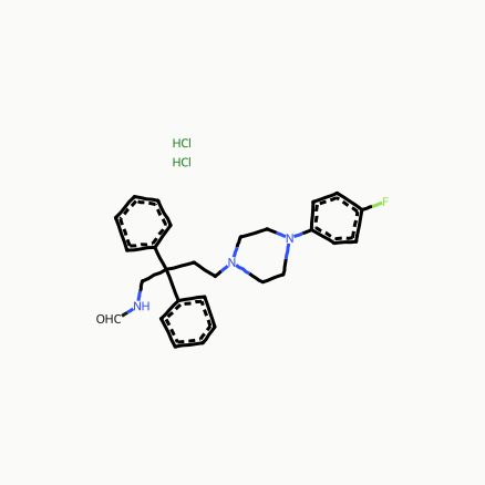 Cl.Cl.O=CNCC(CCN1CCN(c2ccc(F)cc2)CC1)(c1ccccc1)c1ccccc1